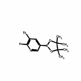 CCc1cc(B2OC(C)(C)C(C)(C)O2)cnc1F